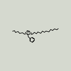 CCCCCCCCCCCCCCn1cc[n+](CCCCCCC)c1Cc1ccccc1